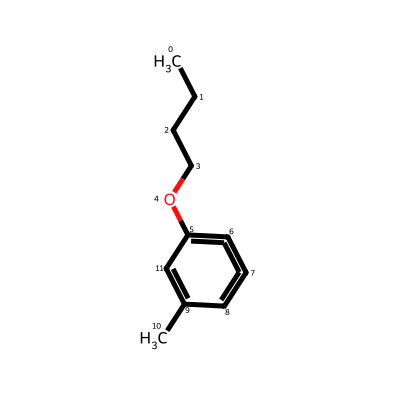 CCCCOC1=C=C=CC(C)=C1